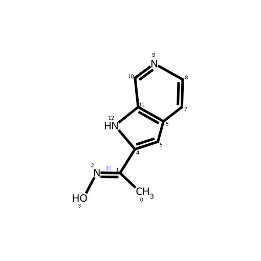 C/C(=N\O)c1cc2ccncc2[nH]1